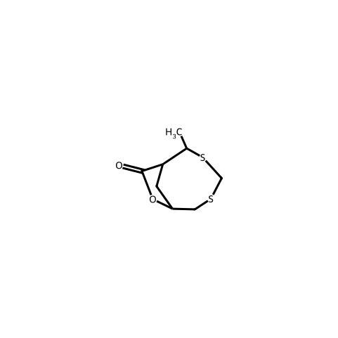 CC1SCSCC2CC1C(=O)O2